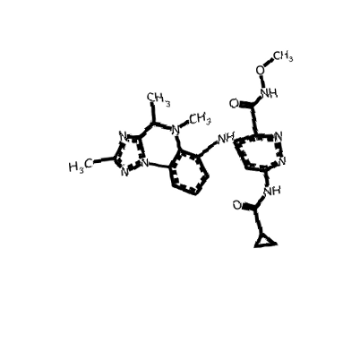 CONC(=O)c1nnc(NC(=O)C2CC2)cc1Nc1cccc2c1N(C)C(C)c1nc(C)nn1-2